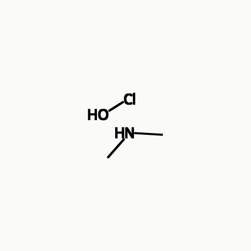 CNC.OCl